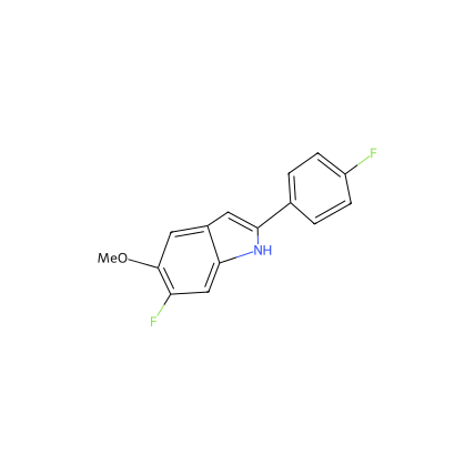 COc1cc2cc(-c3ccc(F)cc3)[nH]c2cc1F